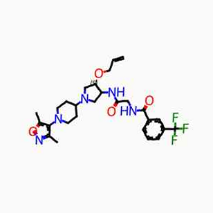 C=CCO[C@H]1CN(C2CCN(c3c(C)noc3C)CC2)CC1NC(=O)CNC(=O)c1cccc(C(F)(F)F)c1